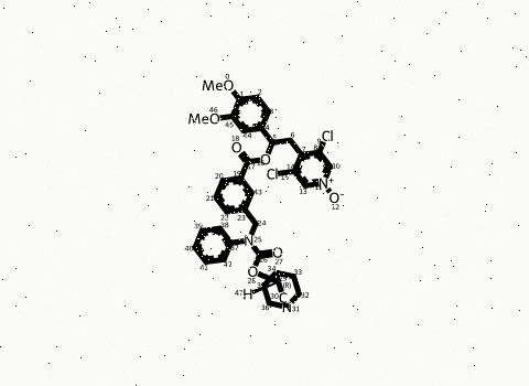 COc1ccc(C(Cc2c(Cl)c[n+]([O-])cc2Cl)OC(=O)c2cccc(CN(C(=O)O[C@H]3CN4CCC3CC4)c3ccccc3)c2)cc1OC